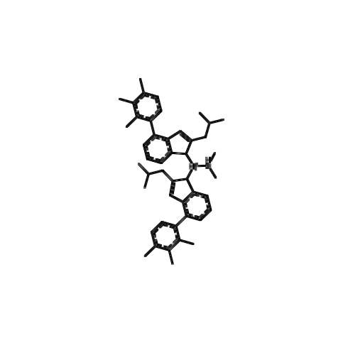 Cc1ccc(-c2cccc3c2C=C(CC(C)C)[CH]3[Hf]([CH]2C(CC(C)C)=Cc3c(-c4ccc(C)c(C)c4C)cccc32)[SiH](C)C)c(C)c1C